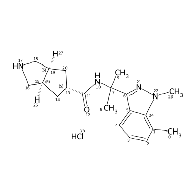 Cc1cccc2c(C(C)(C)NC(=O)[C@@H]3C[C@H]4CNC[C@H]4C3)nn(C)c12.Cl